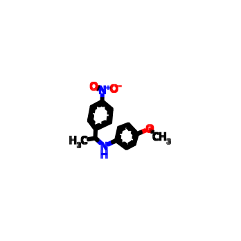 COc1ccc(NC(C)c2ccc([N+](=O)[O-])cc2)cc1